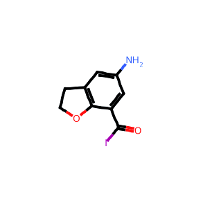 Nc1cc2c(c(C(=O)I)c1)OCC2